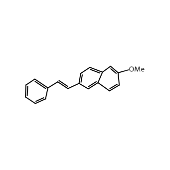 COc1ccc2cc(C=Cc3ccccc3)ccc2c1